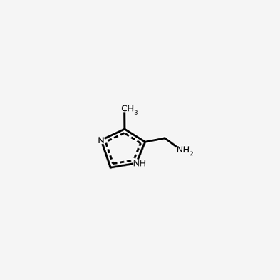 Cc1nc[nH]c1CN